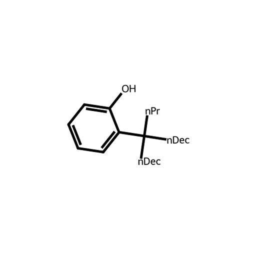 CCCCCCCCCCC(CCC)(CCCCCCCCCC)c1ccccc1O